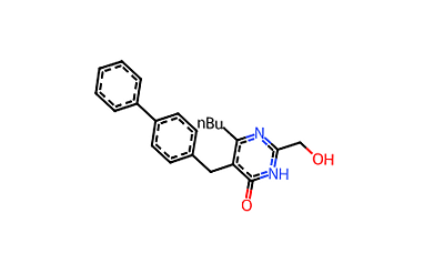 CCCCc1nc(CO)[nH]c(=O)c1Cc1ccc(-c2ccccc2)cc1